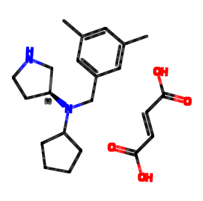 Cc1cc(C)cc(CN(C2CCCC2)[C@H]2CCNC2)c1.O=C(O)C=CC(=O)O